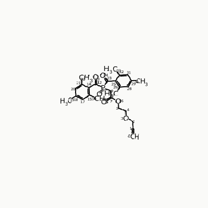 C#CCOCCOC(=O)CP(=O)(C(=O)c1c(C)cc(C)cc1C)C(=O)c1c(C)cc(C)cc1C